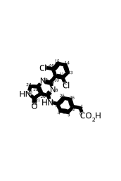 O=C(O)Cc1ccc(Nc2nc(-c3c(Cl)cccc3Cl)nc3c2C(=O)NC3)cc1